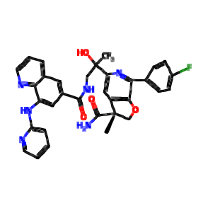 C[C@]1(C(N)=O)COc2c1cc(C(O)(CNC(=O)c1cc(Nc3ccccn3)c3ncccc3c1)C(F)(F)F)nc2-c1ccc(F)cc1